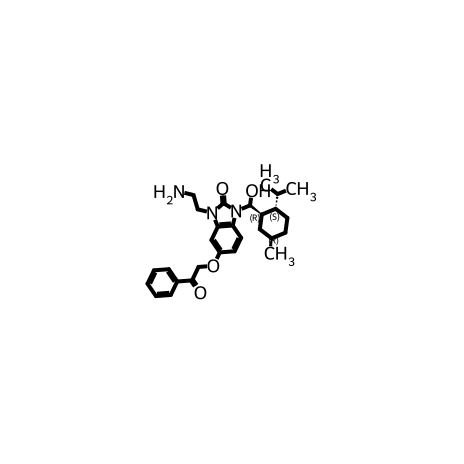 CC(C)[C@@H]1CC[C@@H](C)C[C@H]1C(O)n1c(=O)n(CCN)c2cc(OCC(=O)c3ccccc3)ccc21